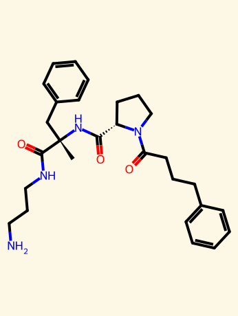 C[C@@](Cc1ccccc1)(NC(=O)[C@@H]1CCCN1C(=O)CCCc1ccccc1)C(=O)NCCCN